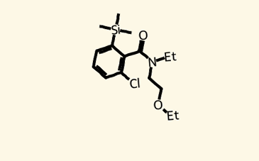 CCOCCN(CC)C(=O)c1c(Cl)cccc1[Si](C)(C)C